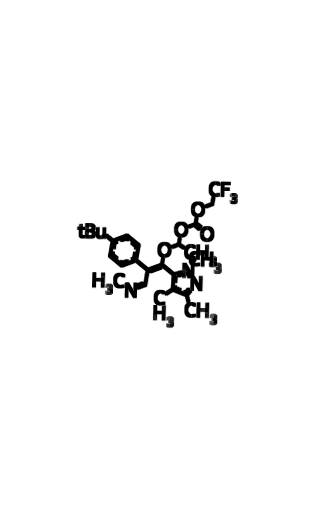 C/N=C\C(=C(\OC(C)OC(=O)OCC(F)(F)F)c1c(C)c(C)nn1C)c1ccc(C(C)(C)C)cc1